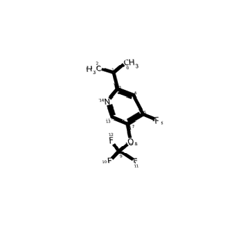 CC(C)c1cc(F)c(OC(F)(F)F)cn1